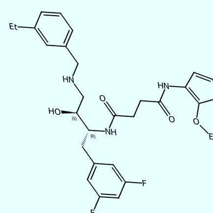 CCOc1sccc1NC(=O)CCC(=O)N[C@H](Cc1cc(F)cc(F)c1)[C@@H](O)CNCc1cccc(CC)c1